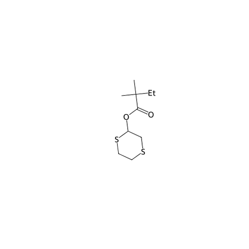 CCC(C)(C)C(=O)OC1CSCCS1